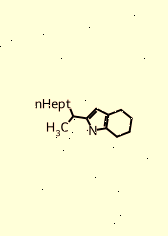 CCCCCCCC(C)C1=CC2=C(CCCC2)[N]1